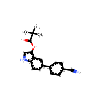 CC(C)(C)C(=O)Oc1c[nH]c2ccc(-c3ccc(C#N)cc3)cc12